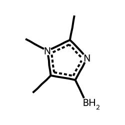 Bc1nc(C)n(C)c1C